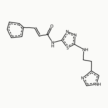 O=C(C=Cc1ccccc1)Nc1nnc(NCCc2c[nH]cn2)s1